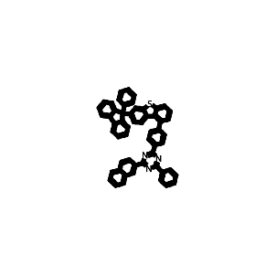 c1ccc(-c2nc(-c3ccc(-c4cccc5sc6cc(C7(c8ccccc8)c8ccccc8-c8ccccc87)ccc6c45)cc3)nc(-c3ccc4ccccc4c3)n2)cc1